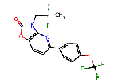 CC(F)(F)Cn1c(=O)oc2ccc(-c3ccc(OC(F)(F)F)cc3)nc21